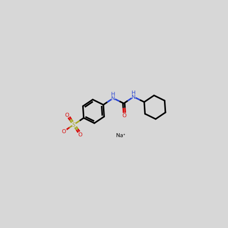 O=C(Nc1ccc(S(=O)(=O)[O-])cc1)NC1CCCCC1.[Na+]